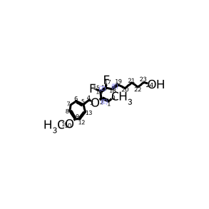 C\C=C(OCC1=CCC=C(OC)C=C1)/C(F)=C(F)\C=C\CCCCO